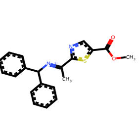 COC(=O)c1cnc(/C(C)=N/C(c2ccccc2)c2ccccc2)s1